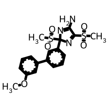 COc1cccc(-c2cccc(C3(S(C)(=O)=O)N=C(N)C(S(C)(=O)=O)=N3)c2)c1